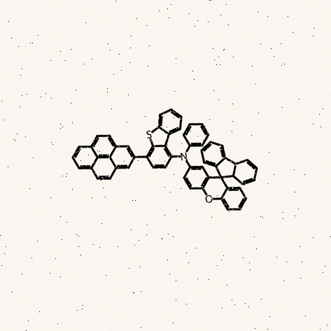 C1=CC2c3ccccc3C3(c4ccccc4Oc4ccc(N(c5ccccc5)c5ccc(-c6cc7ccc8cccc9ccc(c6)c7c89)c6sc7ccccc7c56)cc43)C2C=C1